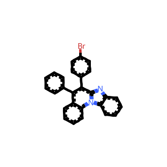 Brc1ccc(-c2c(-c3ccccc3)c3ccccc3n3c2nc2ccccc23)cc1